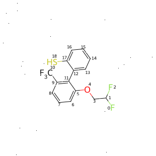 FC(F)COc1cccc(C(F)(F)F)c1-c1ccccc1S